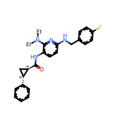 CCN(CC)c1nc(NCc2ccc(F)cc2)ccc1NC(=O)[C@@H]1C[C@H]1c1ccccc1